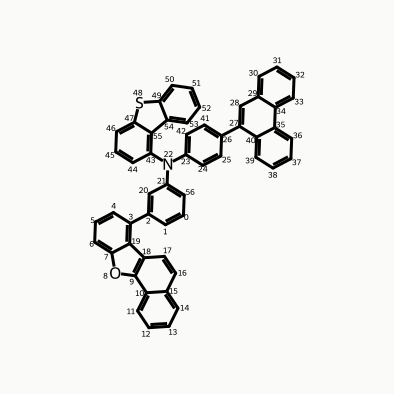 c1cc(-c2cccc3oc4c5ccccc5ccc4c23)cc(N(c2ccc(-c3cc4ccccc4c4ccccc34)cc2)c2cccc3sc4ccccc4c23)c1